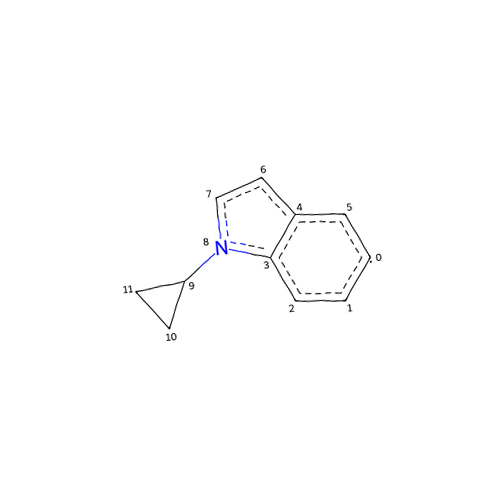 [c]1ccc2c(c1)ccn2C1CC1